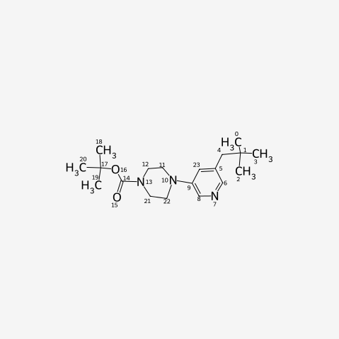 CC(C)(C)Cc1cncc(N2CCN(C(=O)OC(C)(C)C)CC2)c1